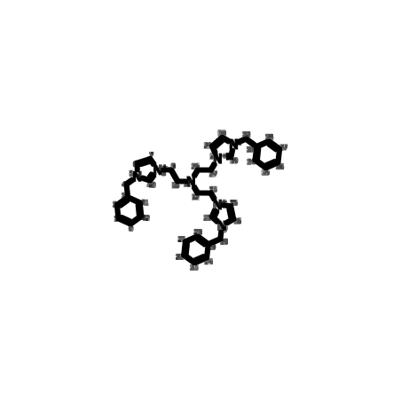 c1ccc(Cn2cc[n+](CCN(CC[n+]3ccn(Cc4ccccc4)c3)CC[n+]3ccn(Cc4ccccc4)c3)c2)cc1